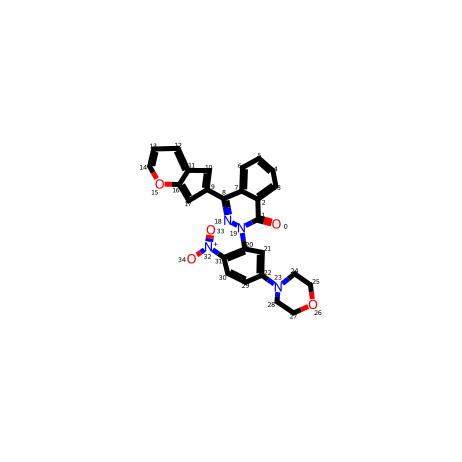 O=c1c2ccccc2c(-c2cc3cccoc-3c2)nn1-c1cc(N2CCOCC2)ccc1[N+](=O)[O-]